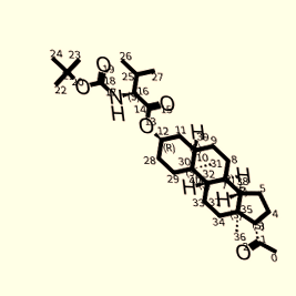 CC(=O)[C@H]1CC[C@H]2[C@@H]3CC[C@H]4C[C@H](OC(=O)[C@@H](NC(=O)OC(C)(C)C)C(C)C)CC[C@]4(C)[C@H]3CC[C@]12C